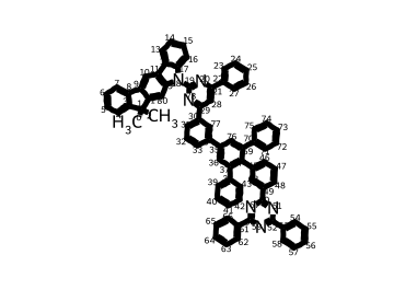 CC1(C)c2ccccc2-c2cc3c4ccccc4n(-c4nc(-c5ccccc5)cc(-c5cccc(-c6cc(-c7ccccc7)c(-c7cccc(-c8nc(-c9ccccc9)nc(-c9ccccc9)n8)c7)c(-c7ccccc7)c6)c5)n4)c3cc21